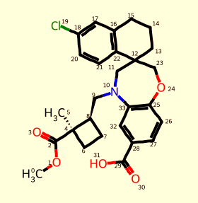 COC(=O)[C@]1(C)CC[C@@H]1CN1CC2(CCCc3cc(Cl)ccc32)COc2ccc(C(=O)O)cc21